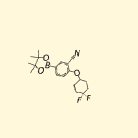 CC1(C)OB(c2ccc(OC3CCC(F)(F)CC3)c(C#N)c2)OC1(C)C